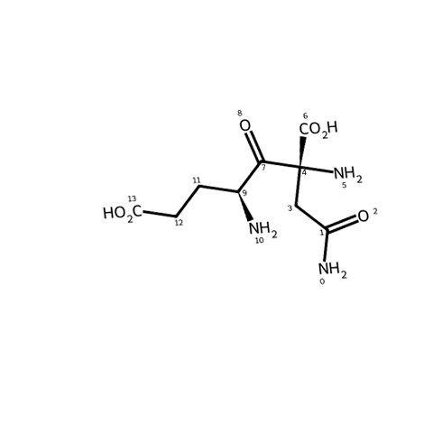 NC(=O)C[C@](N)(C(=O)O)C(=O)[C@@H](N)CCC(=O)O